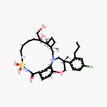 CCCc1cc(Cl)ccc1[C@]1(C)COc2ccc3cc2N(C[C@@H]2CC[C@H]2[C@@](O)(CO)CCCCCS(=O)(=O)NC3=O)C1